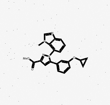 COC(=O)c1cc(-c2cccc(OC3CC3)c2)n(-c2cccc3ncn(C)c23)n1